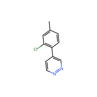 Cc1ccc(-c2ccnnc2)c(Cl)c1